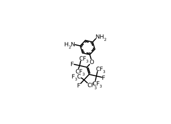 Nc1cc(N)cc(OC(=C(C(F)(C(F)(F)F)C(F)(F)F)C(F)(C(F)(F)F)C(F)(F)F)C(F)(C(F)(F)F)C(F)(F)F)c1